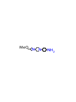 COCC1CN(C2CCN(c3ccc(N)cc3)CC2)C1